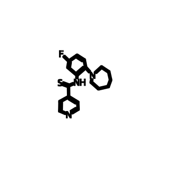 Fc1ccc(N2CCCCCC2)c(NC(=S)c2ccncc2)c1